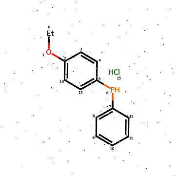 CCOc1ccc(Pc2ccccc2)cc1.Cl